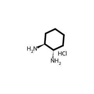 Cl.N[C@H]1CCCC[C@@H]1N